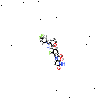 O=C1CC[C@@H](N2Cc3c(ccc(C[C@H]4OCCC[C@@H]4NC4CCC(F)(F)CC4)c3F)C2=O)C(=O)N1